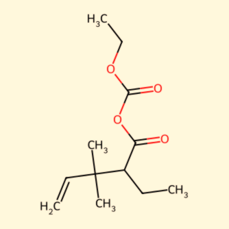 C=CC(C)(C)C(CC)C(=O)OC(=O)OCC